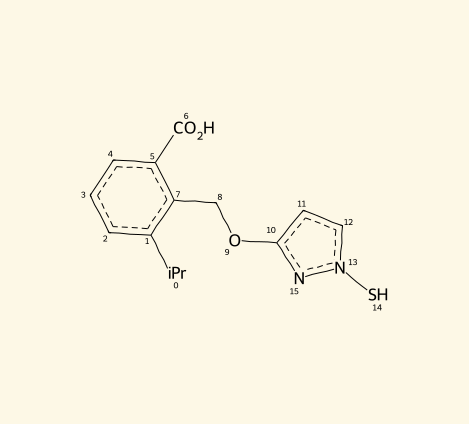 CC(C)c1cccc(C(=O)O)c1COc1ccn(S)n1